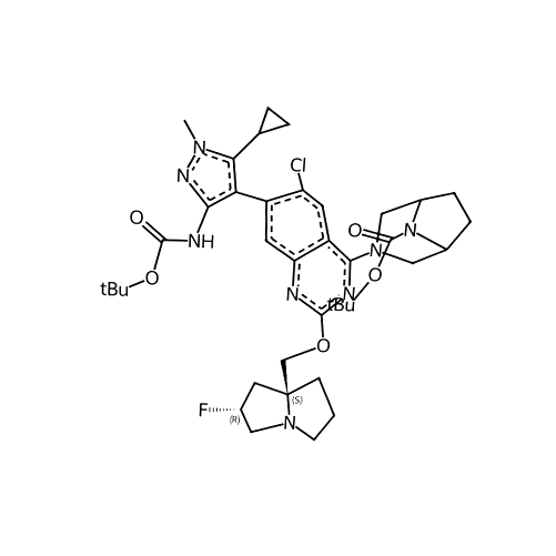 Cn1nc(NC(=O)OC(C)(C)C)c(-c2cc3nc(OC[C@@]45CCCN4C[C@H](F)C5)nc(N4CC5CCC(C4)N5C(=O)OC(C)(C)C)c3cc2Cl)c1C1CC1